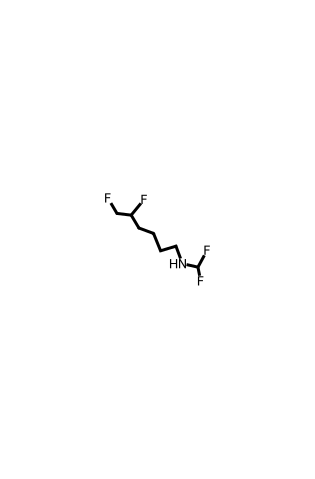 FCC(F)CCCCNC(F)F